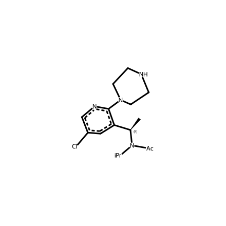 CC(=O)N(C(C)C)[C@H](C)c1cc(Cl)cnc1N1CCNCC1